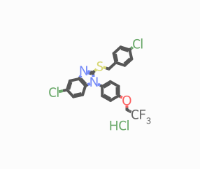 Cl.FC(F)(F)COc1ccc(-n2c(SCc3ccc(Cl)cc3)nc3cc(Cl)ccc32)cc1